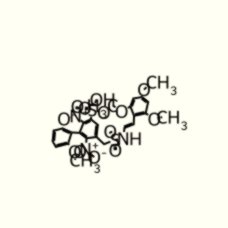 COc1cc(OC)c(C=CNS(=O)(=O)Cc2cc(S(=O)(=O)O)c([N+](=O)[O-])c(-c3ccccc3OC)c2[N+](=O)[O-])c(OC)c1